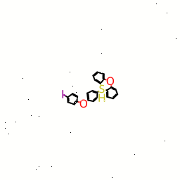 Ic1ccc(Oc2ccc([SH]3c4ccccc4Oc4ccccc43)cc2)cc1